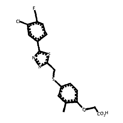 Cc1cc(SCc2nnc(-c3ccc(F)c(Cl)c3)s2)ccc1OCC(=O)O